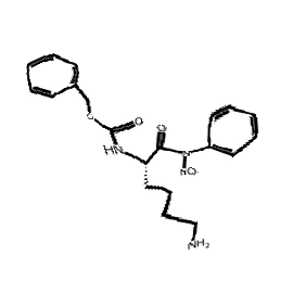 NCCCC[C@H](NC(=O)OCc1ccccc1)C(=O)N([N+]=O)c1ccccc1